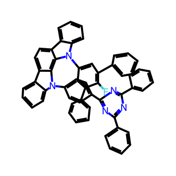 Fc1c(-c2ccccc2)cc(-n2c3ccccc3c3ccc4c5ccccc5n(-c5ccc(-c6nc(-c7ccccc7)nc(-c7ccccc7)n6)cc5)c4c32)cc1-c1ccccc1